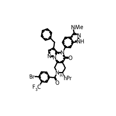 CCC[C@@H]1Cc2c(n3ncc(Cc4ccccc4)c3n(-c3ccc4c(NC)n[nH]c4c3)c2=O)CN1C(=O)c1ccc(Br)c(C(F)(F)F)c1